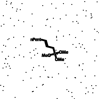 CCCCCC=CC[Si](OC)(OC)OC